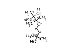 CCCC(C)(N)C(C)(C)OCCC(C)(C)O